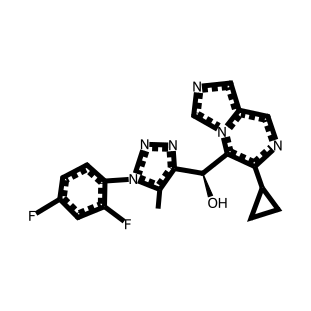 Cc1c([C@H](O)c2c(C3CC3)ncc3cncn23)nnn1-c1ccc(F)cc1F